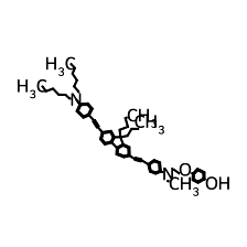 CCCCCCN(CCCCCC)c1ccc(C#Cc2ccc3c(c2)C(CCCC)(CCCC)c2cc(C#Cc4ccc(N(CC)CCOc5ccc(O)cc5)cc4)ccc2-3)cc1